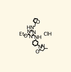 CCOc1nc(NCc2ccco2)nc(Nc2cccc(N3N=C(C)CC3=O)c2)n1.Cl